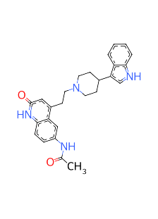 CC(=O)Nc1ccc2[nH]c(=O)cc(CCN3CCC(c4c[nH]c5ccccc45)CC3)c2c1